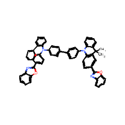 CC1(C)c2ccccc2N(c2ccc(-c3ccc(N(c4ccc(-c5nc6ccccc6o5)cc4)c4ccccc4-c4ccccc4)cc3)cc2)c2ccc(-c3nc4ccccc4o3)cc21